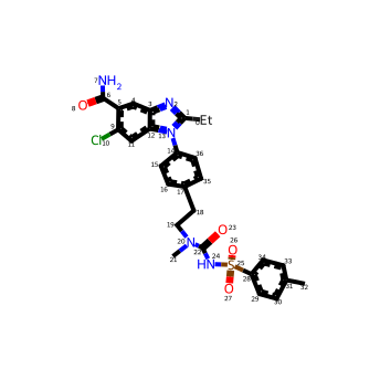 CCc1nc2cc(C(N)=O)c(Cl)cc2n1-c1ccc(CCN(C)C(=O)NS(=O)(=O)c2ccc(C)cc2)cc1